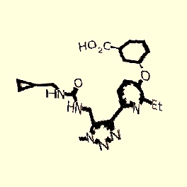 CCc1nc(-c2nnn(C)c2CNC(=O)NCC2CC2)ccc1O[C@H]1CCC[C@H](C(=O)O)C1